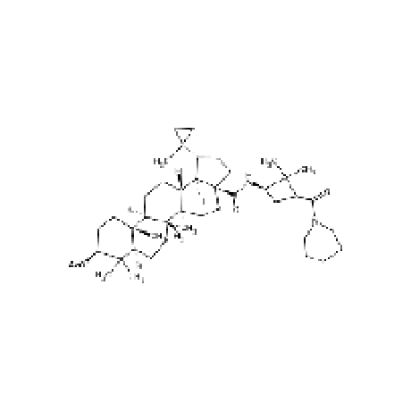 CC(=O)O[C@H]1CC[C@]2(C)[C@H]3CC[C@@H]4[C@H]5[C@H](C6(C)CC6)CC[C@]5(C(=O)N[C@@H]5C[C@H](C(=O)N6CCCCC6)C5(C)C)CC[C@@]4(C)[C@]3(C)CC[C@H]2C1(C)C